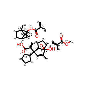 C=C(C(=O)O)C(C=C(C)C(=O)O)(C1CCCC1)C1CCCC1.C=C(C)C(=O)OC.C=C(C)C(=O)OC1CC2CCC1(C)C2(C)C